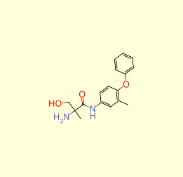 Cc1cc(NC(=O)C(C)(N)CO)ccc1Oc1ccccc1